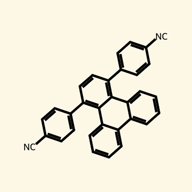 [C-]#[N+]c1ccc(-c2ccc(-c3ccc(C#N)cc3)c3c4ccccc4c4ccccc4c23)cc1